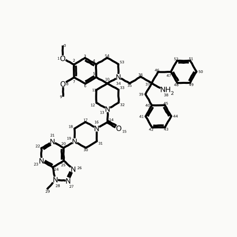 COc1cc2c(cc1OC)C1(CCN(C(=O)N3CCN(c4ncnc5c4nnn5C)CC3)CC1)N(CCC(N)(Cc1ccccc1)Cc1ccccc1)CC2